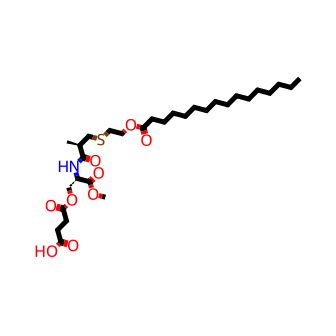 CCCCCCCCCCCCCCCC(=O)OCCSC[C@H](C)C(=O)N[C@@H](COC(=O)CCC(=O)O)C(=O)OC